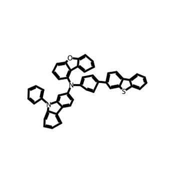 c1ccc(-n2c3ccccc3c3ccc(N(c4ccc(-c5ccc6c(c5)sc5ccccc56)cc4)c4cccc5oc6ccccc6c45)cc32)cc1